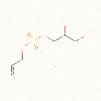 C=CCOS(=O)(=O)OCC(O)CO.[NaH]